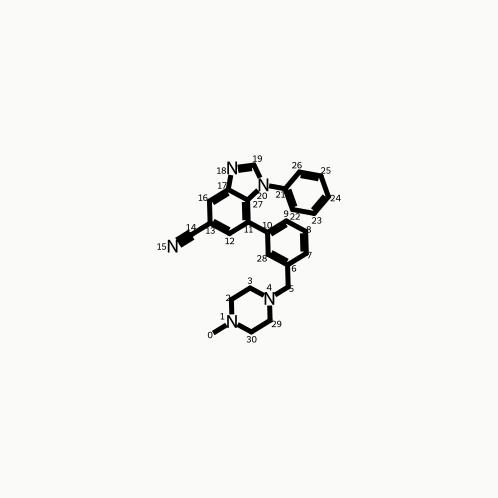 CN1CCN(Cc2cccc(-c3cc(C#N)cc4ncn(-c5ccccc5)c34)c2)CC1